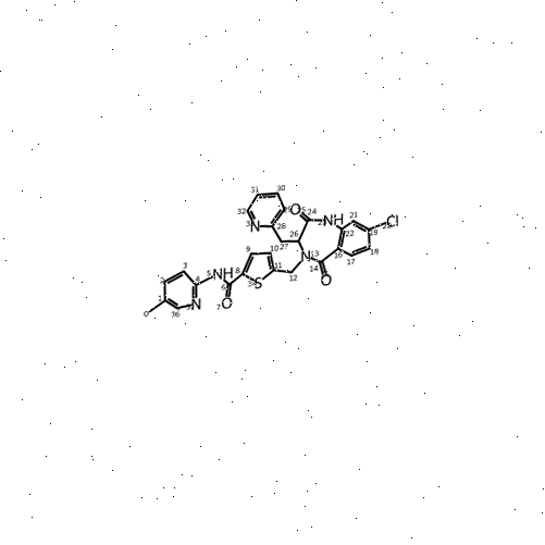 Cc1ccc(NC(=O)c2ccc(CN3C(=O)c4ccc(Cl)cc4NC(=O)C3Cc3ccccn3)s2)nc1